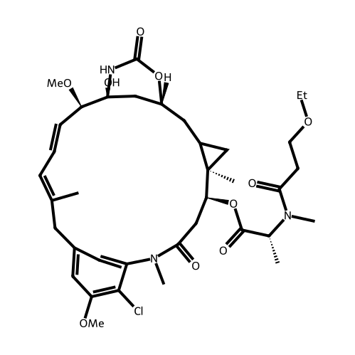 CCOCCC(=O)N(C)[C@H](C)C(=O)O[C@H]1CC(=O)N(C)c2cc(cc(OC)c2Cl)C/C(C)=C/C=C/[C@@H](OC)[C@@]2(O)C[C@@H](CC3C[C@]31C)OC(=O)N2